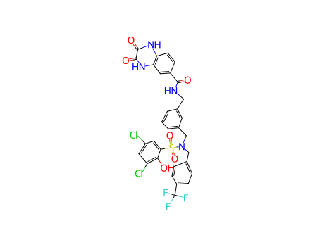 O=C(NCc1cccc(CN(Cc2ccc(C(F)(F)F)cc2)S(=O)(=O)c2cc(Cl)cc(Cl)c2O)c1)c1ccc2[nH]c(=O)c(=O)[nH]c2c1